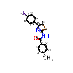 Cc1ccc(C(=O)Nc2nc(-c3ccc(I)cc3)cs2)cc1